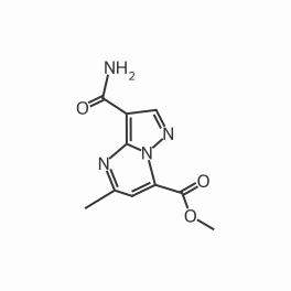 COC(=O)c1cc(C)nc2c(C(N)=O)cnn12